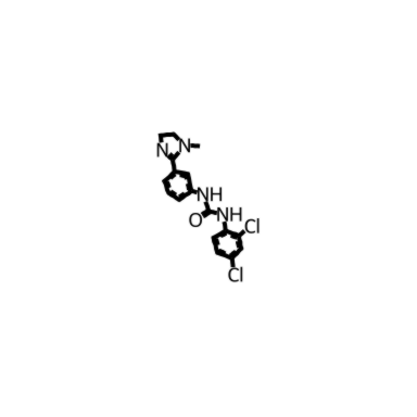 CN1CCN=C1c1cccc(NC(=O)Nc2ccc(Cl)cc2Cl)c1